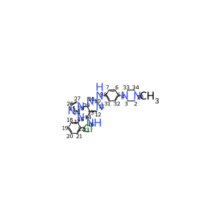 CN1CCN(c2ccc(Nc3ncc4c(=N)n(-c5ccccc5Cl)c5nccn5c4n3)cc2)CC1